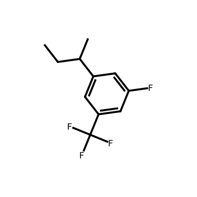 CC[C](C)c1cc(F)cc(C(F)(F)F)c1